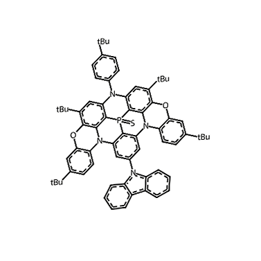 CC(C)(C)c1ccc(N2c3cc(C(C)(C)C)c4c5c3P3(=S)c6c(cc(-n7c8ccccc8c8ccccc87)cc6N6c7ccc(C(C)(C)C)cc7Oc7c(C(C)(C)C)cc2c3c76)N5c2ccc(C(C)(C)C)cc2O4)cc1